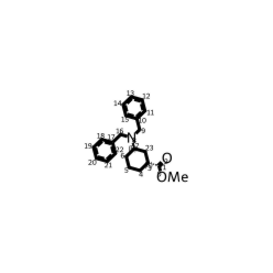 COC(=O)[C@@H]1CCC[C@@H](N(Cc2ccccc2)Cc2ccccc2)C1